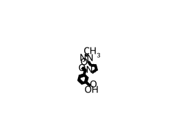 Cc1noc(C2CCCN2C(=O)c2cccc(C(=O)O)c2)n1